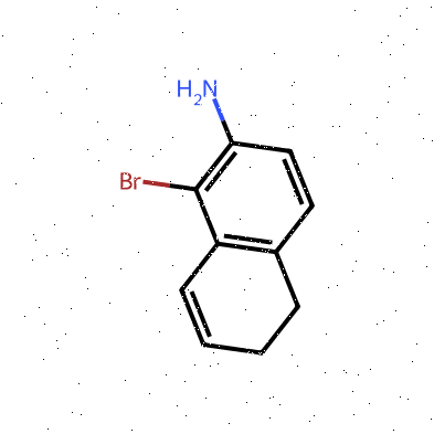 Nc1ccc2c(c1Br)C=CCC2